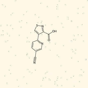 N#Cc1ccc(-c2csnc2C(=O)O)nc1